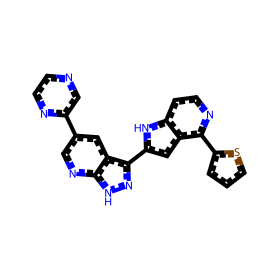 c1csc(-c2nccc3[nH]c(-c4n[nH]c5ncc(-c6cnccn6)cc45)cc23)c1